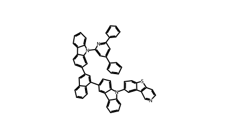 c1ccc(-c2cc(-c3ccccc3)nc(-n3c4ccccc4c4ccc(-c5cc(-c6ccc7c(c6)c6ccccc6n7-c6ccc7sc8ccncc8c7c6)c6ccccc6c5)cc43)c2)cc1